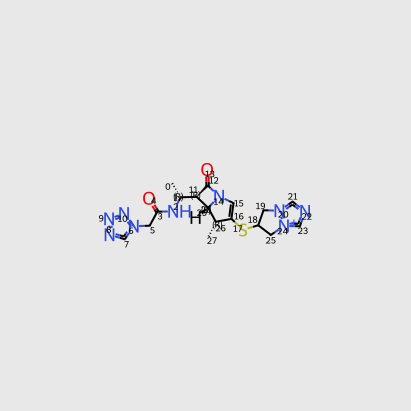 C[C@@H](NC(=O)Cn1cnnn1)[C@H]1C(=O)N2C=C(SC3Cn4cnc[n+]4C3)[C@H](C)[C@H]12